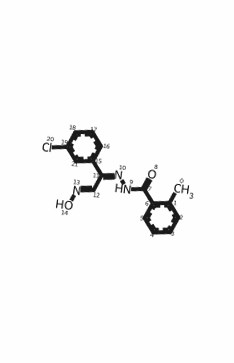 Cc1ccccc1C(=O)NN=C(C=NO)c1cccc(Cl)c1